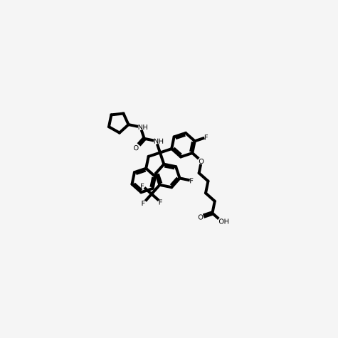 O=C(O)CCCCOc1cc(C(Cc2ccccc2)(NC(=O)NC2CCCC2)c2cc(F)cc(C(F)(F)F)c2)ccc1F